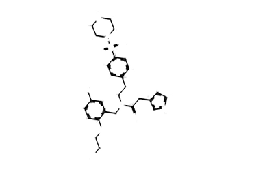 CCCOc1ccc(Cl)cc1CN(CCc1ccc(S(=O)(=O)N2CCOCC2)cc1)C(=O)Cc1ccsc1